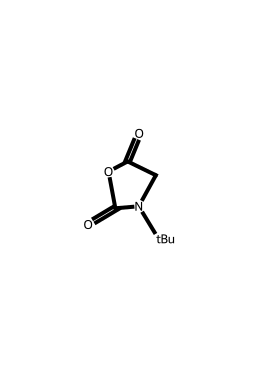 CC(C)(C)N1CC(=O)OC1=O